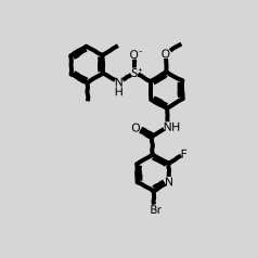 COc1ccc(NC(=O)c2ccc(Br)nc2F)cc1[S+]([O-])Nc1c(C)cccc1C